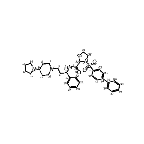 O=C(NC(CCN1CCC(N2CCCC2)CC1)c1ccccc1)C1SCCN1S(=O)(=O)c1ccc(-c2ccccc2)cc1